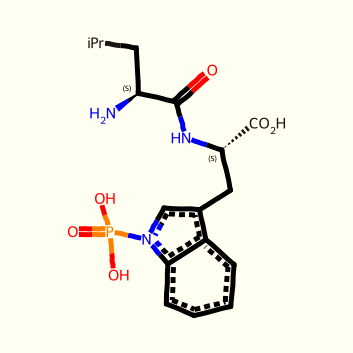 CC(C)C[C@H](N)C(=O)N[C@@H](Cc1cn(P(=O)(O)O)c2ccccc12)C(=O)O